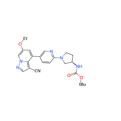 CCOc1cc(-c2ccc(N3CC[C@@H](NC(=O)OC(C)(C)C)C3)nc2)c2c(C#N)cnn2c1